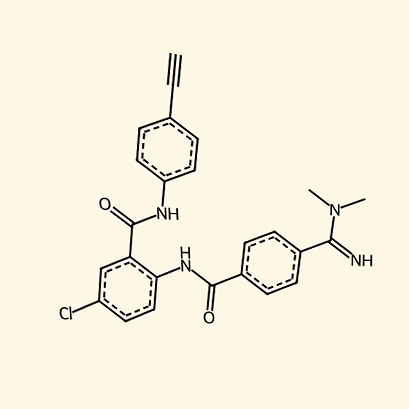 C#Cc1ccc(NC(=O)c2cc(Cl)ccc2NC(=O)c2ccc(C(=N)N(C)C)cc2)cc1